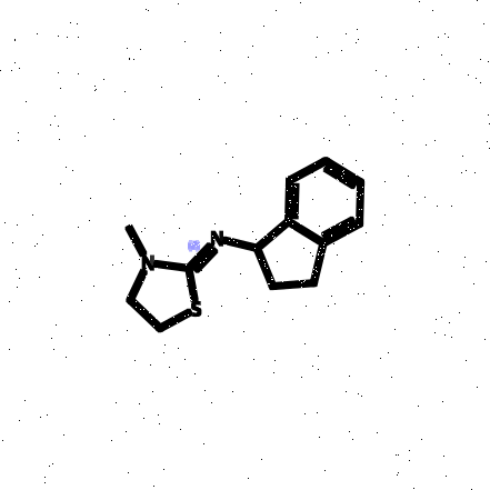 CN1CCS/C1=N\C1CCc2ccccc21